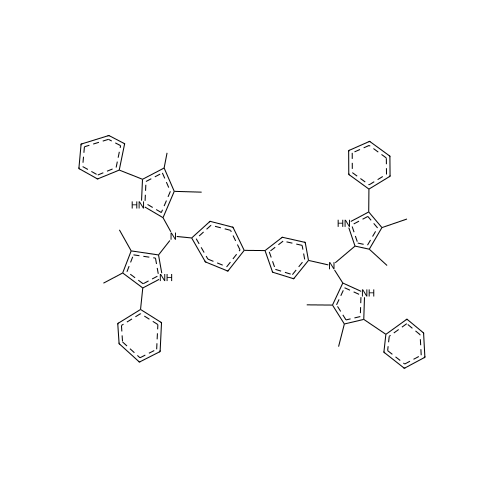 Cc1c(-c2ccccc2)[nH]c(N(c2ccc(-c3ccc(N(c4[nH]c(-c5ccccc5)c(C)c4C)c4[nH]c(-c5ccccc5)c(C)c4C)cc3)cc2)c2[nH]c(-c3ccccc3)c(C)c2C)c1C